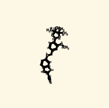 COc1cc(COc2ccc3nc(C#N)sc3c2)ccc1B1OC(C)(C)C(C)(C)O1